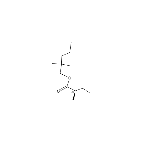 CCCC(C)(C)COC(=O)[C@H](C)CC